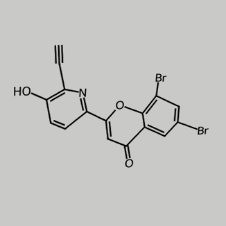 C#Cc1nc(-c2cc(=O)c3cc(Br)cc(Br)c3o2)ccc1O